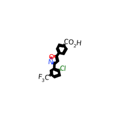 O=C(O)c1ccc(-c2cc(-c3cc(C(F)(F)F)ccc3Cl)no2)cc1